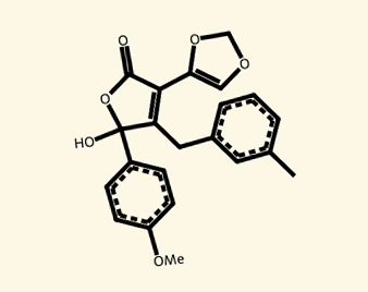 COc1ccc(C2(O)OC(=O)C(C3=COCO3)=C2Cc2cccc(C)c2)cc1